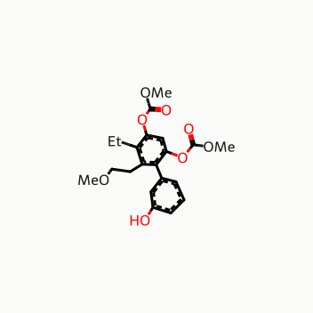 CCc1c(OC(=O)OC)cc(OC(=O)OC)c(-c2cccc(O)c2)c1CCOC